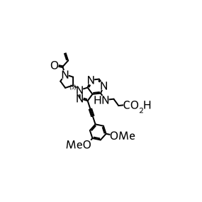 C=CC(=O)N1CC[C@H](n2nc(C#Cc3cc(OC)cc(OC)c3)c3c(NCCC(=O)O)ncnc32)C1